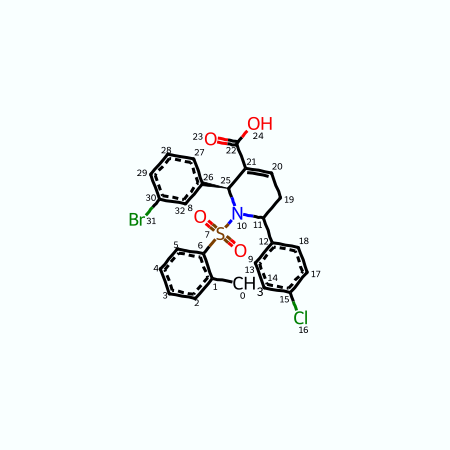 Cc1ccccc1S(=O)(=O)N1C(c2ccc(Cl)cc2)CC=C(C(=O)O)[C@@H]1c1cccc(Br)c1